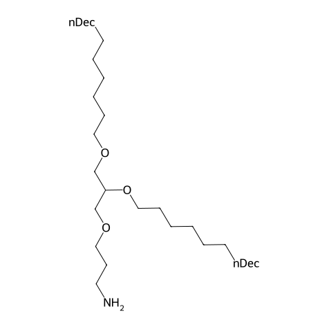 CCCCCCCCCCCCCCCCOCC(COCCCN)OCCCCCCCCCCCCCCCC